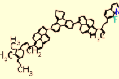 C=C(/C=C\C1=C(C)C(C)=C(CCC)CC1)c1ccc2ccc3c(-c4ccc5c6ccc(-c7ccc8ccc9c(/C(=C\C)CCc%10ccc%11cccnc%11c%10F)ccc%10ccc7c8c%109)cc6c6ccccc6c5c4)ccc4ccc1c2c43